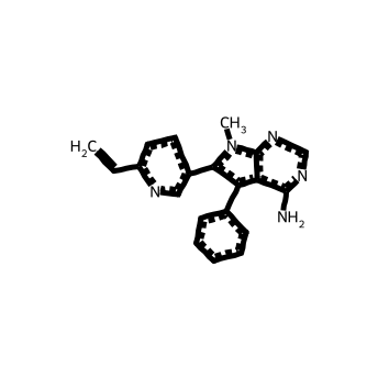 C=Cc1ccc(-c2c(-c3ccccc3)c3c(N)ncnc3n2C)cn1